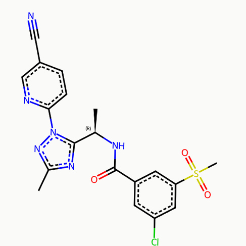 Cc1nc([C@@H](C)NC(=O)c2cc(Cl)cc(S(C)(=O)=O)c2)n(-c2ccc(C#N)cn2)n1